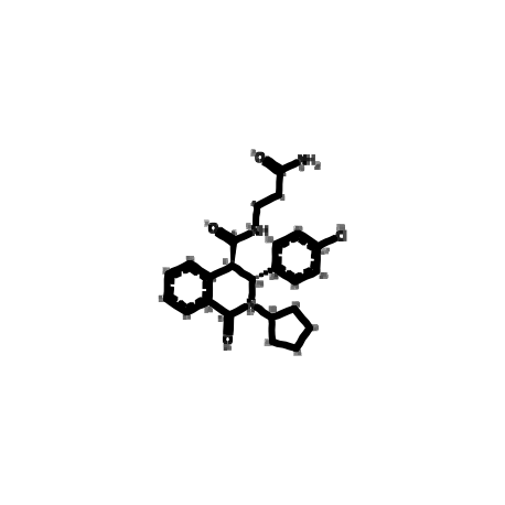 NC(=O)CCNC(=O)[C@@H]1c2ccccc2C(=O)N(C2CCCC2)[C@H]1c1ccc(Cl)cc1